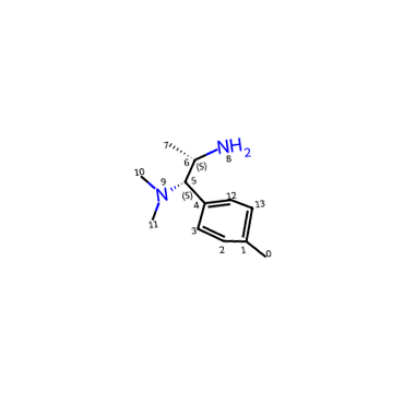 Cc1ccc([C@@H]([C@H](C)N)N(C)C)cc1